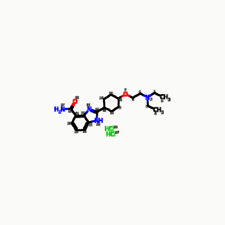 CCN(CC)CCOC1CCC(c2nc3c(C(N)=O)cccc3[nH]2)CC1.Cl.Cl